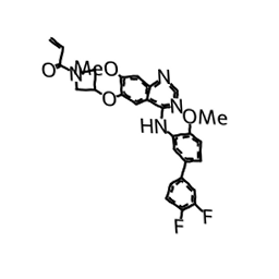 C=CC(=O)N1CC(Oc2cc3c(Nc4cc(-c5ccc(F)c(F)c5)ccc4OC)ncnc3cc2OC)C1